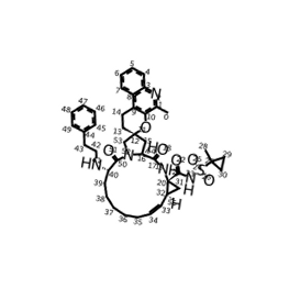 Cc1nc2ccccc2c2c1O[C@]1(CC2)C[C@H]2C(=O)N[C@]3(C(=O)NS(=O)(=O)C4(C)CC4)C[C@H]3/C=C\CCCCC[C@H](NCCc3ccccc3)C(=O)N2C1